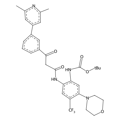 Cc1cc(-c2cccc(C(=O)CC(=O)Nc3cc(C(F)(F)F)c(N4CCOCC4)cc3NC(=O)OC(C)(C)C)c2)cc(C)n1